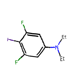 CCN(CC)c1cc(F)c(I)c(F)c1